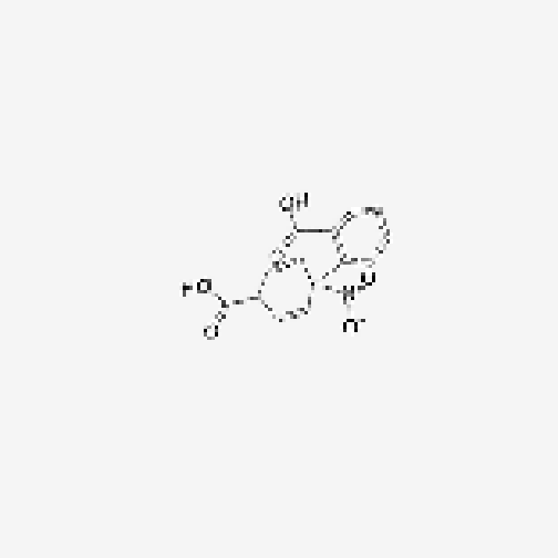 O=C(O)c1ccccc1C1([N+](=O)[O-])C=CC(C(=O)O)C=C1